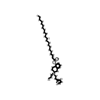 CCCCCCCCCCCCCCCCCCCCCC(=O)Oc1cccc2c1CCC(N(CCC)CCc1cccs1)C2